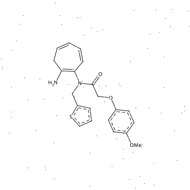 COc1ccc(OCC(=O)N(Cc2cccs2)C2=C(N)CC=CC=C2)cc1